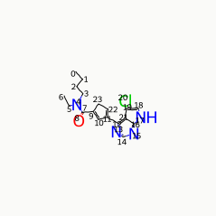 CCCCN(CC)C(=O)C1=CC(c2ncnc3[nH]cc(Cl)c23)=CC1